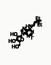 CC[N+](C)(CC)CCNc1ncnc2c1ncn2C1O[C@H](CO)[C@@H](O)[C@H]1O.[I-]